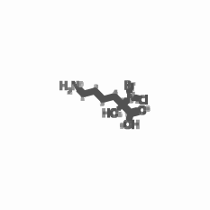 NCCCC[C@@](O)(C(=O)O)N(Cl)Br